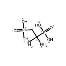 NC(N)(CP(=O)(O)O)P(=O)(O)O